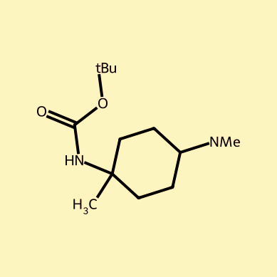 CNC1CCC(C)(NC(=O)OC(C)(C)C)CC1